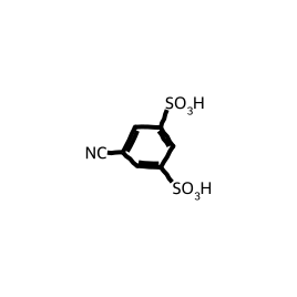 N#Cc1cc(S(=O)(=O)O)cc(S(=O)(=O)O)c1